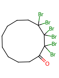 O=C1CCCCCCCCC(Br)(Br)C(Br)(Br)C1(Br)Br